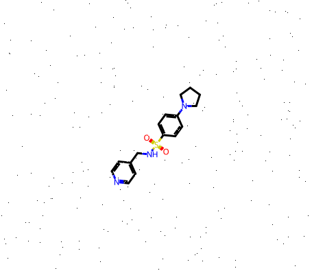 O=S(=O)(NCc1ccncc1)c1ccc(N2CCCC2)cc1